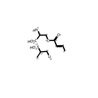 CC=CC(=O)OCC(CCC)C(=O)O.[Li][CH2]C(C)S(=O)(=O)O